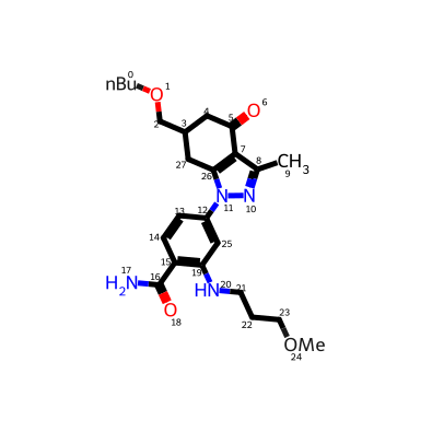 CCCCOCC1CC(=O)c2c(C)nn(-c3ccc(C(N)=O)c(NCCCOC)c3)c2C1